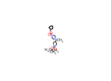 C[C@@H](C1CCN(C(=O)OC(C)(C)C)CC1)N1CCN(C(=O)OCc2ccccc2)CC1